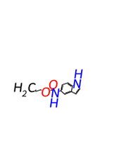 C=CCOC(=O)Nc1ccc2[nH]ccc2c1